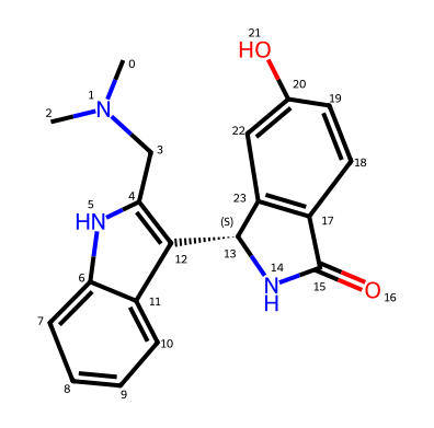 CN(C)Cc1[nH]c2ccccc2c1[C@H]1NC(=O)c2ccc(O)cc21